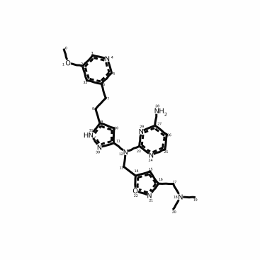 COc1cncc(CCc2cc(N(Cc3cc(CN(C)C)no3)c3nccc(N)n3)n[nH]2)c1